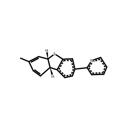 CC1=C[C@@H]2Sc3cc(-c4ccccn4)ccc3[C@@H]2C=C1